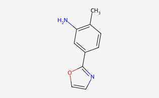 Cc1ccc(-c2ncco2)cc1N